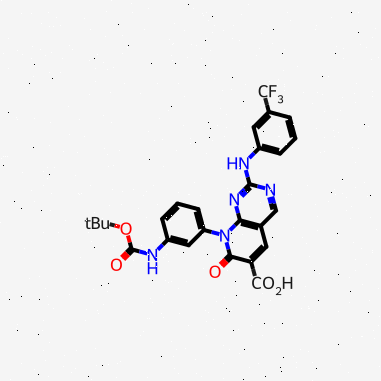 CC(C)(C)OC(=O)Nc1cccc(-n2c(=O)c(C(=O)O)cc3cnc(Nc4cccc(C(F)(F)F)c4)nc32)c1